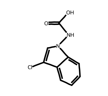 O=C(O)Nn1cc(Cl)c2ccccc21